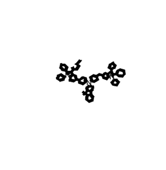 C=C(/C=C\C=C/C)c1c(-c2ccccc2)n(-c2ccccc2)c2ccc(-c3ccc(N(c4ccc(Cc5ccc6c(c5)c(-c5ccccc5)c(C5=CC=CCC=C5)n6-c5ccccc5)cc4)c4ccc5c(c4)C(C)(C)c4ccccc4-5)cc3)cc12